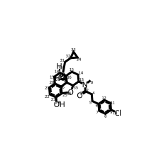 CN(C(=O)CCc1ccc(Cl)cc1)C1CC[C@@]2(O)[C@H]3Cc4ccc(O)c5c4[C@@]2(CCN3CC2CC2)C1O5